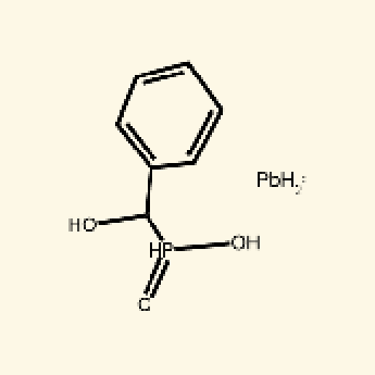 O=[PH](O)C(O)c1ccccc1.[PbH2]